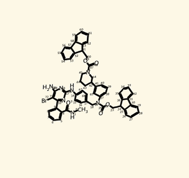 CNC(=O)c1ccccc1-c1nc(Nc2ccc(CN(C(=O)OCC3c4ccccc4-c4ccccc43)c3cccc(C4CCCN(C(=O)OCC5c6ccccc6-c6ccccc65)C4)c3)cc2)nc(N)c1Br